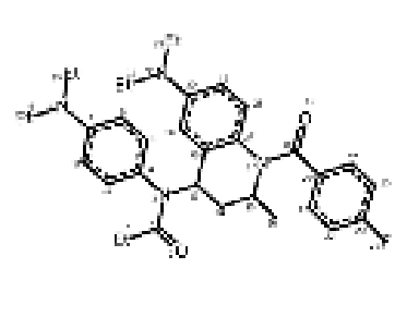 CCC(=O)N(c1ccc(N(CC)CC)cc1)C1CC(C)N(C(=O)c2ccc(F)cc2)c2ccc(N(CC)CC)cc21